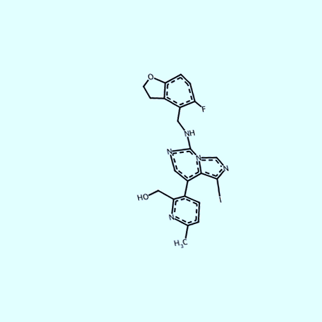 Cc1ccc(-c2cnc(NCc3c(F)ccc4c3CCO4)n3cnc(I)c23)c(CO)n1